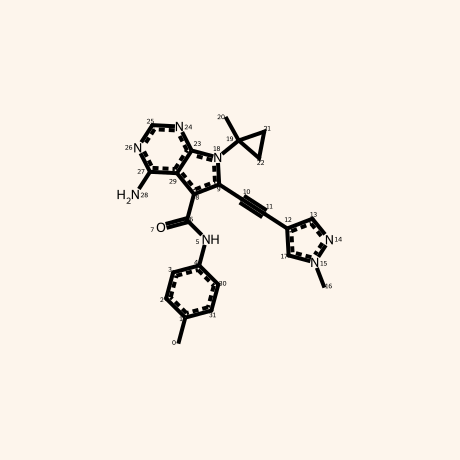 Cc1ccc(NC(=O)c2c(C#Cc3cnn(C)c3)n(C3(C)CC3)c3ncnc(N)c23)cc1